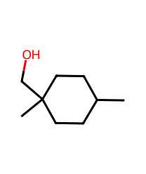 CC1CCC(C)(CO)CC1